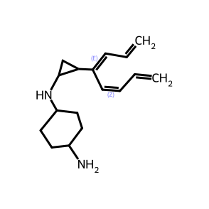 C=C/C=C\C(=C/C=C)C1CC1NC1CCC(N)CC1